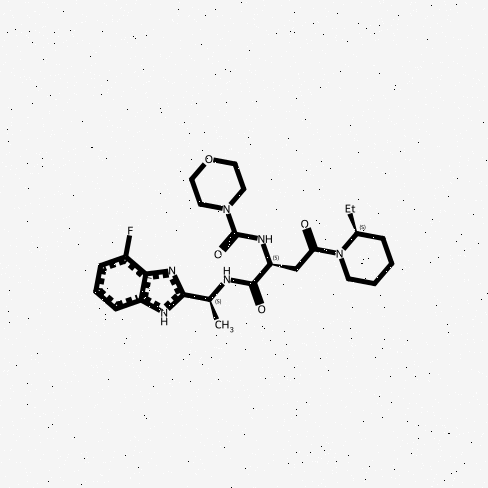 CC[C@H]1CCCCN1C(=O)C[C@H](NC(=O)N1CCOCC1)C(=O)N[C@@H](C)c1nc2c(F)cccc2[nH]1